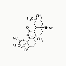 CC(=O)N[C@]12CCC(C)(C)CC1C1C(=O)C=C3[C@@](C)(/C=C(/C#N)C=O)[C@H](C(C)C)CC[C@@]3(C)[C@]1(C)CC2